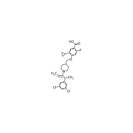 CO[C@H](C(C)c1cc(Cl)cc(Cl)c1)N1CCC(COc2cc(F)c(C(=O)O)cc2C2CC2)CC1